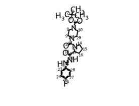 CC(C)(C)OC(=O)N1CCN(C(=O)N2CCCC2C(=O)NNc2ccc(F)cc2)CC1